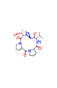 CC(C)C1NC(=O)C2CCCN2C(=O)C2CCCN2C(=O)C(C(C)O)NC1=O